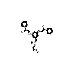 C[CH]CNCc1cc(OCC(Cl)c2ccccc2)cc(OCC(Cl)c2ccccc2)c1